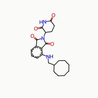 O=C1CCC(N2C(=O)c3cccc(NCC4CCCCCCC4)c3C2=O)C(=O)N1